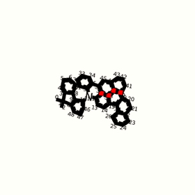 CC1(C)c2ccccc2-c2c(N(c3ccc4c(ccc5ccc6ccccc6c54)c3)c3ccccc3-c3ccc4ccccc4c3)cccc21